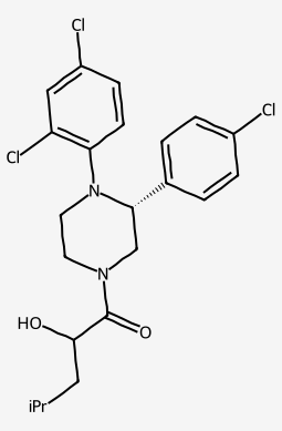 CC(C)CC(O)C(=O)N1CCN(c2ccc(Cl)cc2Cl)[C@H](c2ccc(Cl)cc2)C1